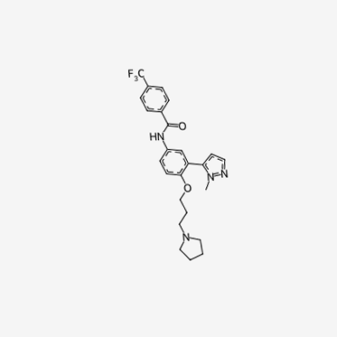 Cn1nccc1-c1cc(NC(=O)c2ccc(C(F)(F)F)cc2)ccc1OCCCN1CCCC1